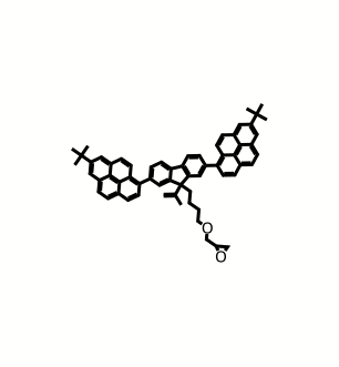 C=C(C)C1(CCCCOCC2CO2)c2cc(-c3ccc4ccc5cc(C(C)(C)C)cc6ccc3c4c56)ccc2-c2ccc(-c3ccc4ccc5cc(C(C)(C)C)cc6ccc3c4c56)cc21